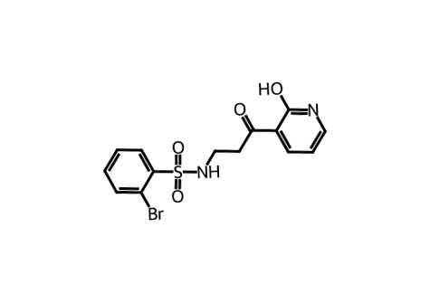 O=C(CCNS(=O)(=O)c1ccccc1Br)c1cccnc1O